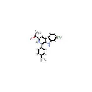 COC(=O)c1cc2c([nH]c3cc(Cl)ccc32)c(-c2ccc([N+](=O)[O-])cc2)n1